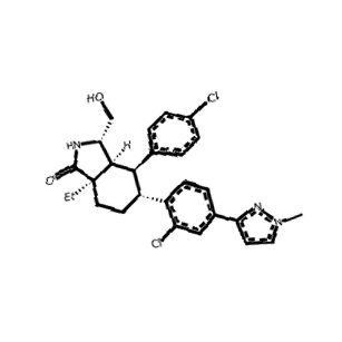 CC[C@@]12CC[C@@H](c3ccc(-c4ccn(C)n4)cc3Cl)[C@H](c3ccc(Cl)cc3)[C@@H]1[C@@H](CO)NC2=O